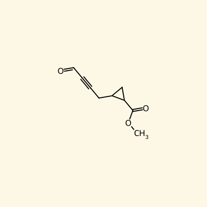 COC(=O)C1CC1CC#CC=O